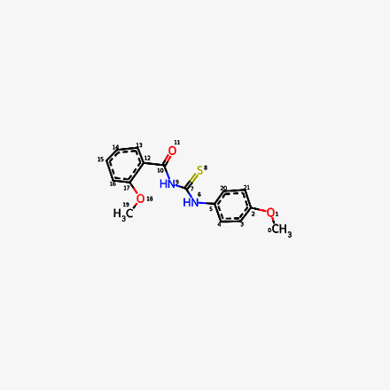 COc1ccc(NC(=S)NC(=O)c2ccccc2OC)cc1